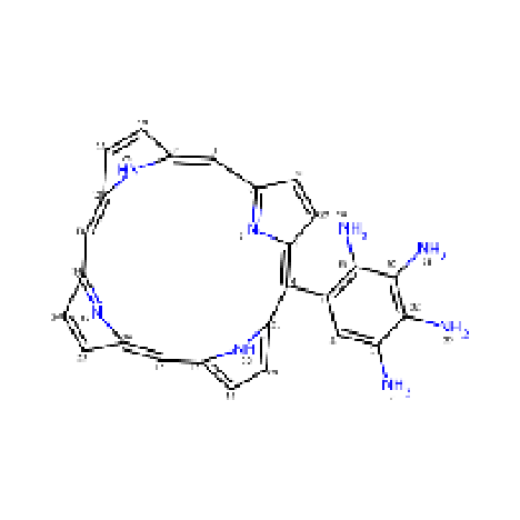 Nc1cc(-c2c3nc(cc4ccc(cc5nc(cc6ccc2[nH]6)C=C5)[nH]4)C=C3)c(N)c(N)c1N